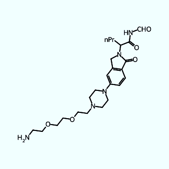 CCCC(C(=O)NC=O)N1Cc2cc(N3CCN(CCOCCOCCN)CC3)ccc2C1=O